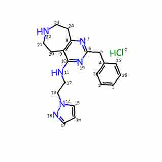 Cl.c1ccc(Cc2nc3c(c(NCCn4cccn4)n2)CCNCC3)cc1